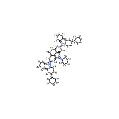 c1ccc(-c2ccc3c(c2)c2ccccc2n3-c2cc3ccc4cc(-n5c6ccccc6c6cc(-c7ccccc7)ccc65)cc5c4c3c(c2)n5-c2ccccc2)cc1